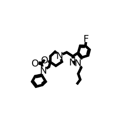 CCCCn1nc(CN2CCC3(CC2)CN(c2ccccc2)C(=O)O3)c2cc(F)ccc21